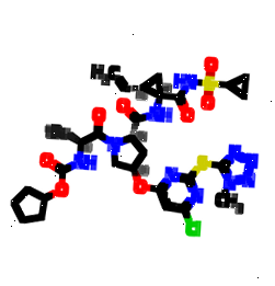 C=C[C@@H]1C[C@]1(NC(=O)[C@@H]1C[C@@H](Oc2cc(Cl)nc(Sc3nnnn3C)n2)CN1C(=O)[C@@H](NC(=O)OC1CCCC1)C(C)(C)C)C(=O)NS(=O)(=O)C1CC1